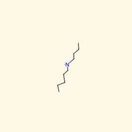 CCCCC[N]CCCC